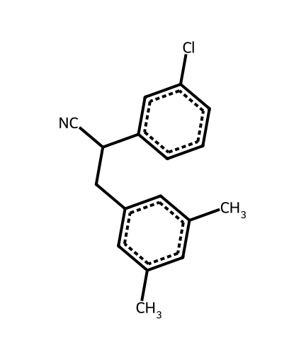 Cc1cc(C)cc(CC(C#N)c2cccc(Cl)c2)c1